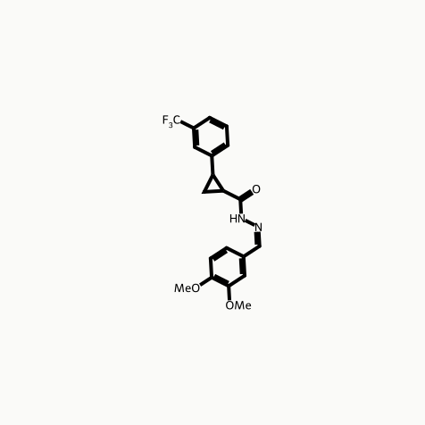 COc1ccc(/C=N\NC(=O)C2CC2c2cccc(C(F)(F)F)c2)cc1OC